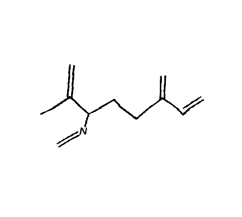 C=CC(=C)CCC(N=C)C(=C)C